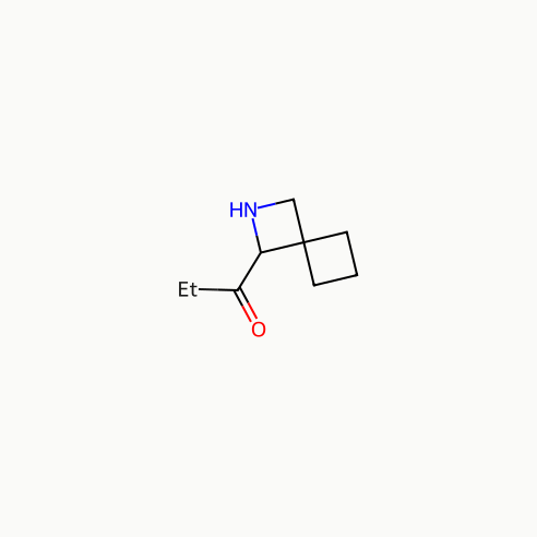 CCC(=O)C1NCC12CCC2